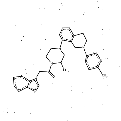 Cc1ccc(N2CCc3cccc(N4CCN(C(=O)Cn5cnc6cccnc65)C(C)C4)c3C2)cn1